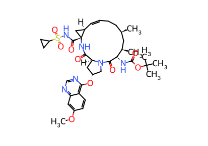 COc1ccc2c(O[C@@H]3C[C@H]4C(=O)N[C@]5(C(=O)NS(=O)(=O)C6CC6)C[C@H]5/C=C\CC[C@@H](C)C[C@@H](C)[C@H](NC(=O)OC(C)(C)C)C(=O)N4C3)ncnc2c1